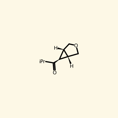 CC(C)C(=O)[C@H]1[C@@H]2COC[C@@H]21